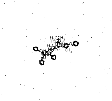 Cc1cc(OCc2ccccc2)cc(C)c1C[C@H](NC(=O)OC(C)(C)C)C(=O)N[C@H](C)C(=O)NC[C@H](Cc1ccccc1)N/C(=N/C(=O)OCc1ccccc1)NC(=O)OCc1ccccc1